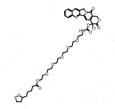 CCC1(OC(=O)NCCOCCOCCOCCOCCOCCOC(=O)CCCCC2CCSS2)C(=O)OCc2c1cc1n(c2=O)Cc2cc3ccccc3nc2-1